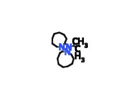 CC(C)N1C2CCCCCCCN2C2CCCCCCCCN21